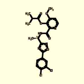 COc1ccnc(C(=O)N[C@@H](C)c2noc(-c3ccc(Cl)c(Cl)c3)n2)c1OC(=O)C(C)C